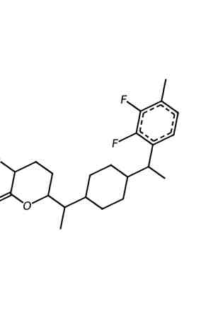 CCCC1CCC(C(C)C2CCC(C(C)c3ccc(C)c(F)c3F)CC2)OC1=O